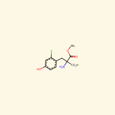 CC(C)(C)OC(=O)C(N)(Cc1ccc(O)cc1F)C(=O)O